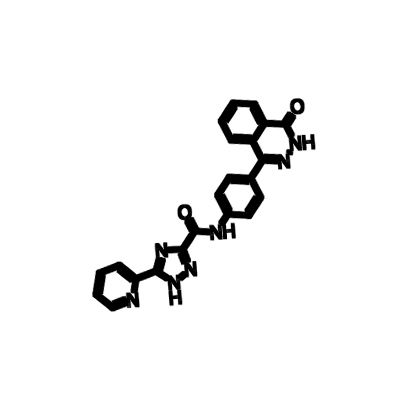 O=C(Nc1ccc(-c2n[nH]c(=O)c3ccccc23)cc1)c1n[nH]c(-c2ccccn2)n1